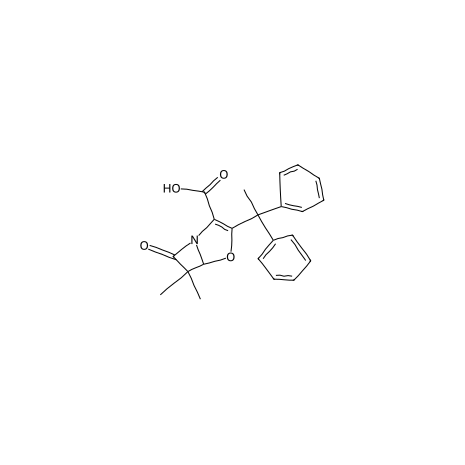 CC(C1=C(C(=O)O)N2C(=O)C(C)(C)C2O1)(c1ccccc1)c1ccccc1